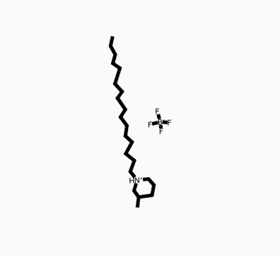 CCCCCCCCCCCCCCCC[NH+]1CCCC(C)C1.F[B-](F)(F)F